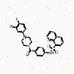 O=C(c1ccc(NS(=O)(=O)c2cccc3cccnc23)cc1)N1CCN(c2ccc(F)c(F)c2)CC1